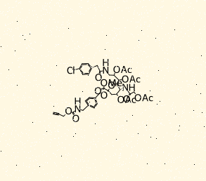 C#CCOC(=O)NCc1ccc(CO[C@]2(C(=O)OC)C[C@H](OC(C)=O)[C@@H](NC(=O)COC(C)=O)[C@H]([C@H](OC(C)=O)[C@@H](CNC(=O)Cc3ccc(Cl)cc3)OC(C)=O)O2)cc1